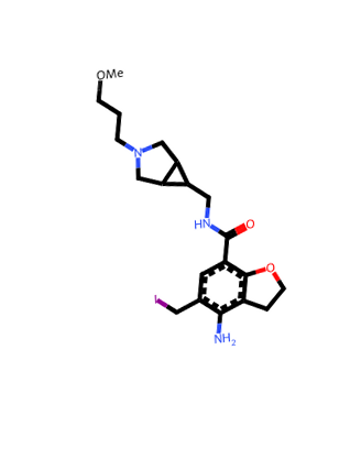 COCCCN1CC2C(CNC(=O)c3cc(CI)c(N)c4c3OCC4)C2C1